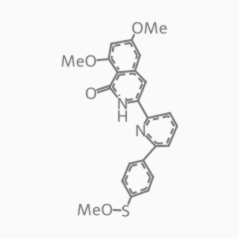 COSc1ccc(-c2cccc(-c3cc4cc(OC)cc(OC)c4c(=O)[nH]3)n2)cc1